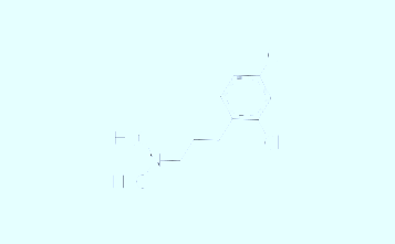 CN(C)CCCc1ccc(Cl)[c]c1Cl